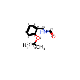 CC(C)Oc1ccccc1CN[C]=O